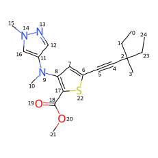 CCC(C)(C#Cc1cc(N(C)c2cnn(C)c2)c(C(=O)OC)s1)CC